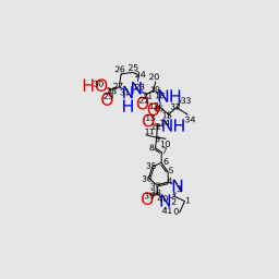 CCc1nc2cc(/C=C/C(C)(C)C(=O)NC(C(=O)NC(C)C(=O)N3CCCC(C(=O)O)N3)C(C)C)ccc2c(=O)n1C